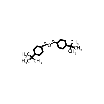 CC(C)(C)C1CCC(SOSC2CCC(C(C)(C)C)CC2)CC1